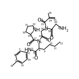 [CH2]c1ccc(NC(=O)C(CCCC)N(C(=O)CN(C(=O)CN)C(=O)C(=C)C)C(=O)C2CCCN2)cc1